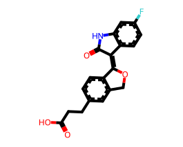 O=C(O)CCc1ccc2c(c1)COC2=C1C(=O)Nc2cc(F)ccc21